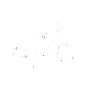 Cn1nc(NCC#N)c2c(Cl)ccc(-c3ccc(C#CC(C)(C)O)nc3[C@H](Cc3cc(F)cc(F)c3)NC(=O)CNC3=C(C(=N)C(F)F)[C@H]4CC[C@H]4C3(F)F)c21